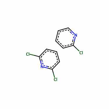 Clc1cccc(Cl)n1.Clc1ccccn1